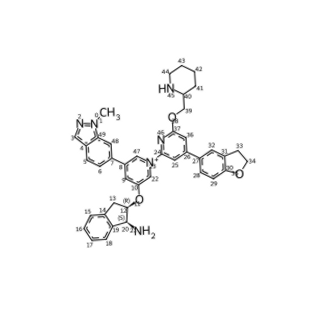 Cn1ncc2ccc(-c3cc(O[C@@H]4Cc5ccccc5[C@@H]4N)c[n+](-c4cc(-c5ccc6c(c5)CCO6)cc(OCC5CCCCN5)n4)c3)cc21